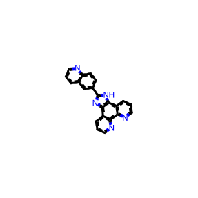 c1cnc2ccc(-c3nc4c5cccnc5c5ncccc5c4[nH]3)cc2c1